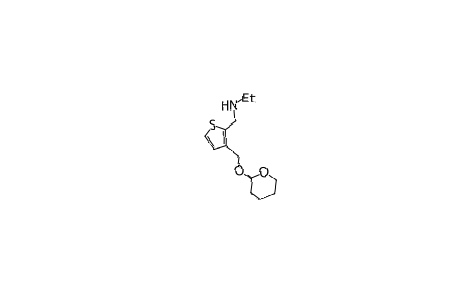 CCNCc1sccc1COC1CCCCO1